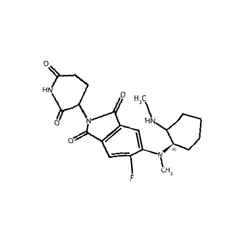 CNC1CCCC[C@H]1N(C)c1cc2c(cc1F)C(=O)N(C1CCC(=O)NC1=O)C2=O